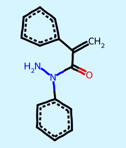 C=C(C(=O)N(N)c1ccccc1)c1ccccc1